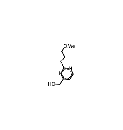 COCCSc1nccc(CO)n1